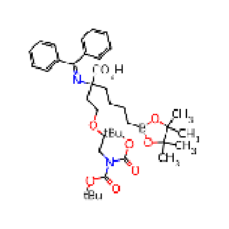 CC(C)(C)OC(=O)N(CCOCCC(CCCCB1OC(C)(C)C(C)(C)O1)(N=C(c1ccccc1)c1ccccc1)C(=O)O)C(=O)OC(C)(C)C